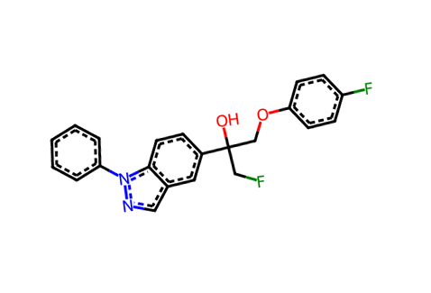 OC(CF)(COc1ccc(F)cc1)c1ccc2c(cnn2-c2ccccc2)c1